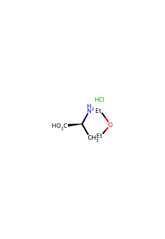 CCOCC.C[C@H](N)C(=O)O.Cl